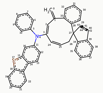 C=C1/C=C(N(c2ccccc2)c2ccc3c(c2)sc2ccccc23)\C=C/CC2(c3ccccc31)c1ccccc1-c1ccccc12